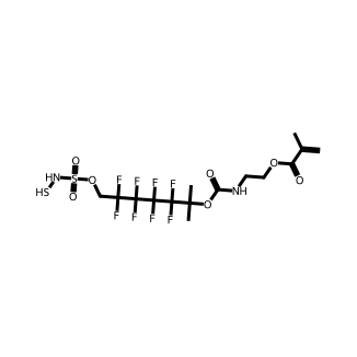 C=C(C)C(=O)OCCNC(=O)OC(C)(C)C(F)(F)C(F)(F)C(F)(F)C(F)(F)COS(=O)(=O)NS